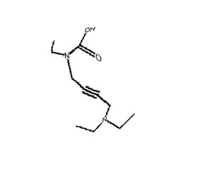 CCN(CC)CC#CCN(CC)C(=O)O